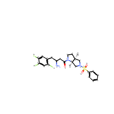 NC(CC(=O)N1CC[C@H]2CN(S(=O)(=O)c3ccccc3)C[C@H]21)Cc1cc(F)c(F)cc1F